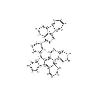 c1cc(-c2ccc3c4c(cccc24)-c2ccccc2-3)cc(-n2c3ccccc3c3c4ccccc4c4c5ccccc5ccc4c32)c1